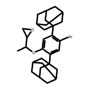 CC(C)c1cc(C23CC4CC(CC(C4)C2)C3)c(OC(C)C2CO2)cc1C12CC3CC(CC(C3)C1)C2